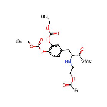 COC(=O)[C@H](Cc1ccc(OC(=O)OCC(C)(C)C)c(OC(=O)OCC(C)(C)C)c1)NCCOC(=O)C(C)C